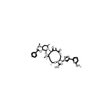 CO[C@]1(C)C[C@@H](C)CN(C(=O)O)[C@H](Cn2cc(-c3cccc(N)n3)nn2)COC(=O)C(C)C(=O)[C@H](C)[C@H]1O[C@@H]1O[C@H](C)C[C@H](N(C)C)[C@H]1OC(=O)c1ccccc1